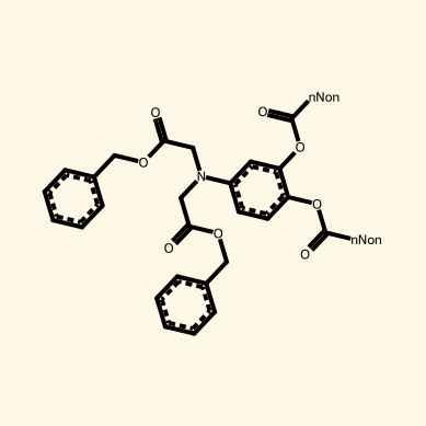 CCCCCCCCCC(=O)Oc1ccc(N(CC(=O)OCc2ccccc2)CC(=O)OCc2ccccc2)cc1OC(=O)CCCCCCCCC